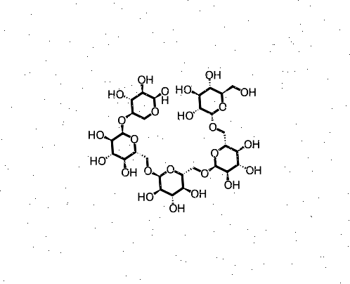 OC[C@H]1O[C@H](OC[C@H]2O[C@H](OC[C@H]3O[C@H](OC[C@H]4O[C@H](O[C@@H]5CO[C@H](O)[C@H](O)[C@H]5O)[C@H](O)[C@@H](O)[C@@H]4O)[C@H](O)[C@@H](O)[C@@H]3O)[C@H](O)[C@@H](O)[C@@H]2O)[C@H](O)[C@@H](O)[C@@H]1O